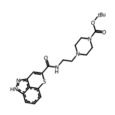 CC(C)(C)OC(=O)N1CCN(CCNC(=O)C2=Cc3n[nH]c4cccc(c34)S2)CC1